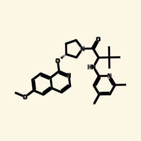 COc1ccc2c(O[C@@H]3CCN(C(=O)C(Nc4cc(C)cc(C)n4)C(C)(C)C)C3)nccc2c1